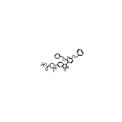 Cn1nc(-c2ccc(OCc3ccccc3)nc2OCc2ccccc2)c2ccc(C3CCN(C(=O)OC(C)(C)C)CC3(F)F)cc21